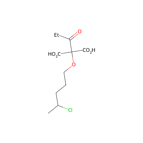 CCC(=O)C(OCCCC(C)Cl)(C(=O)O)C(=O)O